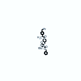 CC(C)Cc1ccc(C(C)C(=O)N2CCC(C[C@H]3C(=O)O[C@@H](C(C)(C)C)N3C(=O)OCc3ccccc3)CC2)cc1